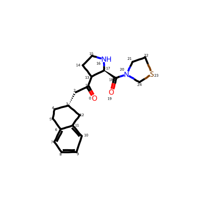 O=C(C[C@H]1CCc2ccccc2C1)C1CCN[C@H]1C(=O)N1CCSC1